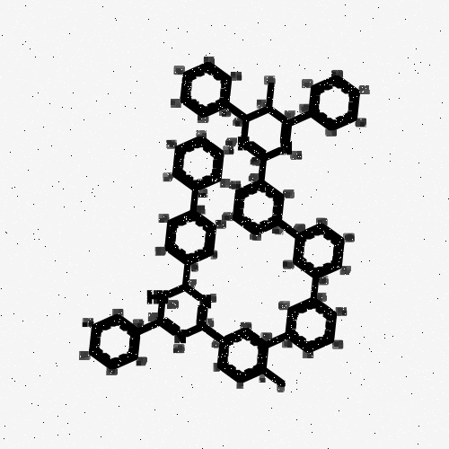 Cc1ccc(C2=NC(c3ccc(-c4ccccc4)cc3)NC(c3ccccc3)=N2)cc1-c1cccc(-c2cccc(-c3cccc(C4=NC(c5ccccc5)C(C)C(c5ccccc5)=N4)c3)c2)c1